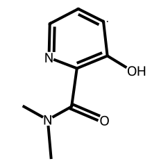 CN(C)C(=O)c1ncc[c]c1O